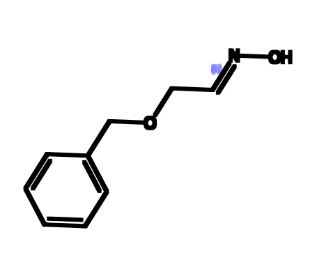 O/N=C/COCc1ccccc1